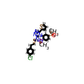 COc1ccc([S+](C)[O-])cc1-n1c(NSCCc2ccc(Cl)cc2)nnc1-c1cccs1